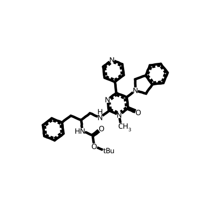 Cn1c(NCC(Cc2ccccc2)NC(=O)OC(C)(C)C)nc(-c2ccncc2)c(N2Cc3ccccc3C2)c1=O